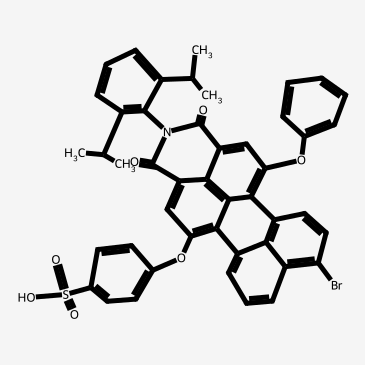 CC(C)c1cccc(C(C)C)c1N1C(=O)c2cc(Oc3ccc(S(=O)(=O)O)cc3)c3c4cccc5c(Br)ccc(c6c(Oc7ccccc7)cc(c2c36)C1=O)c54